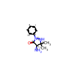 CC1(C)NN(c2ccccc2)C(=O)C1N